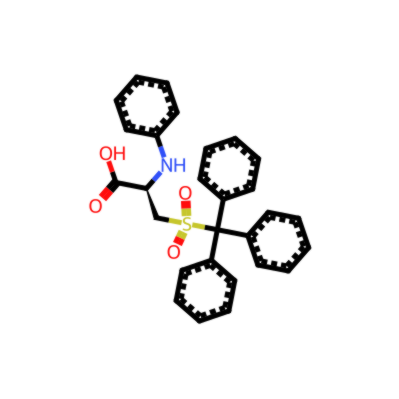 O=C(O)[C@H](CS(=O)(=O)C(c1ccccc1)(c1ccccc1)c1ccccc1)Nc1ccccc1